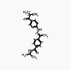 C/C(=N\Nc1ccc(C(=O)C(C)C)cn1)c1ccc(C(=O)NC(C)C)cc1